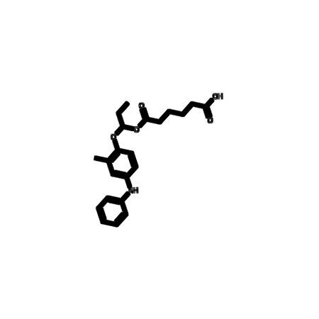 CCC(OC(=O)CCCCC(=O)O)Oc1ccc(Nc2ccccc2)cc1C